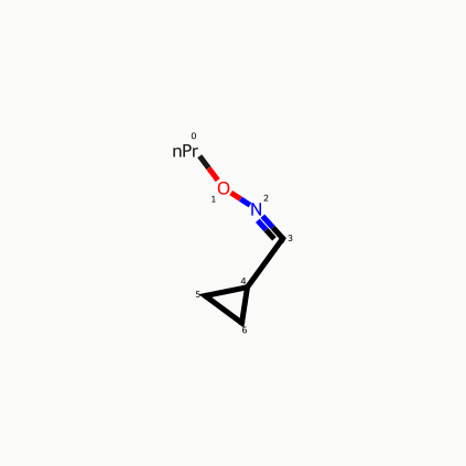 CCCO/N=[C]\C1CC1